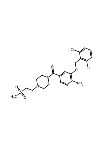 CS(=O)(=O)CCN1CCN(C(=O)c2cnc(N)c(OCc3c(Cl)cccc3Cl)c2)CC1